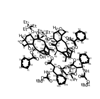 CC[Si](CC)(CC)O[C@H]1C[C@H]2OC[C@@]2(OC(C)=O)C2[C@H](OC(=O)c3ccccc3)[C@]3(O)C[C@H](OC(=O)[C@H](O[Si](C[Si](O[C@@H](C(=O)O[C@H]4C[C@@]5(O)[C@@H](OC(=O)c6ccccc6)C6[C@](C)(C(=O)[C@H](C)C(=C4C)C5(C)C)[C@@H](O[Si](CC)(CC)CC)C[C@H]4OC[C@@]64OC(C)=O)[C@@H](NC(=O)OC(C)(C)C)c4ccccc4)(C(C)C)C(C)C)(C(C)C)C(C)C)[C@@H](NC(=O)OC(C)(C)C)c4ccccc4)C(C)=C([C@@H](C)C(=O)[C@@]21C)C3(C)C